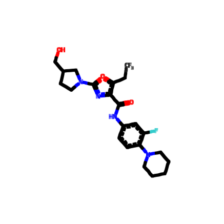 O=C(Nc1ccc(N2CCCCC2)c(F)c1)c1nc(N2CCC(CO)C2)oc1CC(F)(F)F